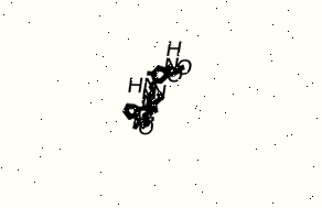 Cc1cc2[nH]c(=O)oc2cc1Nc1ncc2ccc(-c3ccccc3N(C)S(C)(=O)=O)n2n1